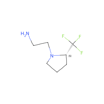 NCCN1CCC[C@H]1C(F)(F)F